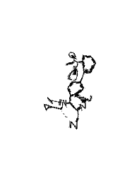 C[C@@H](Nc1c(C#N)nnc2cc(-c3ccccc3S(C)(=O)=O)ccc12)C1CC1